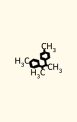 Cc1ccc(C(C)C(C)c2ccc(C)cc2)cc1